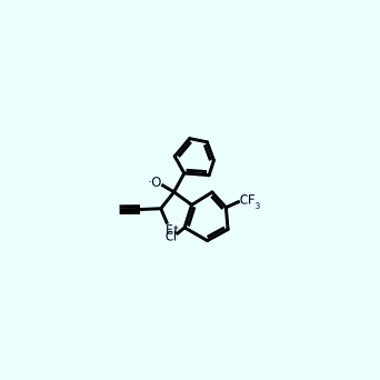 C#CC(CC)C([O])(c1ccccc1)c1cc(C(F)(F)F)ccc1Cl